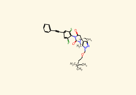 CC[C@@]1(c2cnn(COCC[Si](C)(C)C)c2)CC(=O)N(c2c(F)cc(C#Cc3ccccc3)cc2F)C(=O)N1C